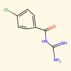 N=C(N)NC(=O)c1ccc(Cl)cc1